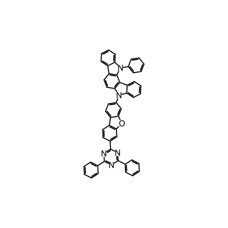 c1ccc(-c2nc(-c3ccccc3)nc(-c3ccc4c(c3)oc3cc(-n5c6ccccc6c6c5ccc5c7ccccc7n(-c7ccccc7)c56)ccc34)n2)cc1